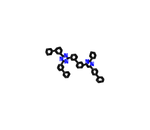 c1ccc(-c2ccc(-c3cc(-c4cccc(-c5cccc(-c6nc(-c7cccc(-c8ccccc8)c7)nc(-c7cccc(-c8ccccc8)c7)n6)c5)c4)nc(-c4ccccc4)n3)cc2)cc1